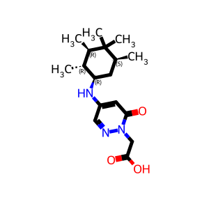 C[C@@H]1[C@@H](C)C(C)(C)[C@@H](C)C[C@H]1Nc1cnn(CC(=O)O)c(=O)c1